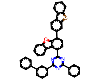 c1ccc(-c2cccc(-c3nc(-c4ccccc4)nc(-c4ccc(-c5ccc6c(c5)sc5ccccc56)c5oc6ccccc6c45)n3)c2)cc1